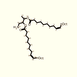 CCCCCCCC/C=C\CCCCCCCC(=O)OC(C)C(CN)OC(=O)CCCCCCC/C=C\CCCCCCCC